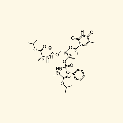 Cc1cn([C@H](C)O[C@@H](CO[PH](=O)N[C@@H](C)C(=O)OC(C)C)[C@@H](F)OP(=O)(N[C@@H](C)C(=O)OC(C)C)Oc2ccccc2)c(=O)[nH]c1=O